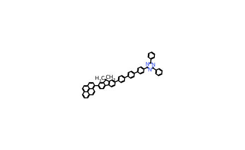 CC1(C)c2cc(-c3ccc(-c4ccc(-c5ccc(-c6nc(-c7ccccc7)nc(-c7ccccc7)n6)cc5)cc4)cc3)ccc2-c2ccc(-c3ccc4ccc5cccc6ccc3c4c56)cc21